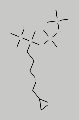 CO[Si](C)(C)[Si](C)(CCCOCC1CO1)O[Si](C)(C)O[Si](C)(C)C